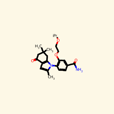 Cc1cc2c(n1-c1ccc(C(N)=O)cc1OCCOC(C)C)CC(C)(C)CC2=O